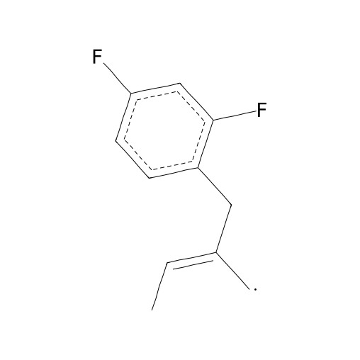 [CH2]C(=CC)Cc1ccc(F)cc1F